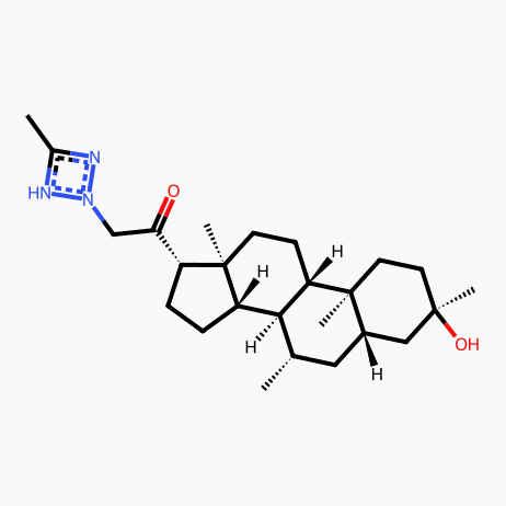 Cc1nn(CC(=O)[C@H]2CC[C@H]3[C@@H]4[C@@H](C)C[C@H]5C[C@](C)(O)CC[C@]5(C)[C@H]4CC[C@]23C)[nH]1